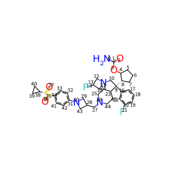 NC(=O)O[C@H]1CCC[C@@H]1C(CN1CC(F)C1)(c1cccc(F)c1)C1CCN(CC2CN(c3ccc(S(=O)(=O)C4CC4)cc3)C2)CC1